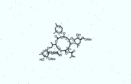 CON=C1C[C@@H](C)O[C@@H](O[C@@H]2[C@@H](C)[C@H](O[C@H]3C[C@@H](C)N(C)C[C@H](C)O3)[C@@H](C)C(=O)OC(C(C)CO[C@@H]3O[C@H](C)[C@@H](O)[C@@H](OC)[C@H]3OC)[C@@H](C)[C@@H]([C@H](C(=O)O)C(C)C)[C@@H](C)C(=O)[C@@](C)(OC(=O)N(C)C)C[C@@H]2C)[C@@H]1O